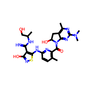 Cc1ccc(Nc2snc(O)c2C(=N)NC(C)CO)nc1C(=O)N1c2nc(N(C)C)nc(C)c2CC1O